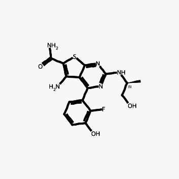 C[C@@H](CO)Nc1nc(-c2cccc(O)c2F)c2c(N)c(C(N)=O)sc2n1